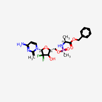 C=C1N=C(N)C=CN1[C@@H]1O[C@H](CO[P@](C)(=O)N[C@@H](C)C(=O)OCc2ccccc2)C(O)C1(F)F